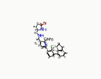 COc1nc(-c2cccc(-c3cccc4c3CCC4)c2Cl)cc(C)c1CNCC1CCC(=O)N1